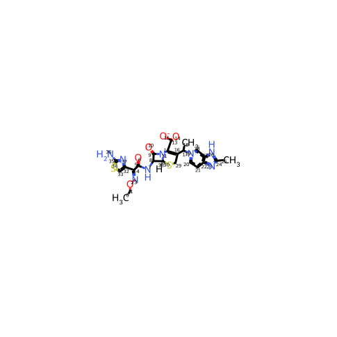 CCON=C(C(=O)NC1C(=O)N2C(C(=O)[O-])=C(C(C)[n+]3ccc4nc(C)[nH]c4c3)CS[C@@H]12)c1csc(N)n1